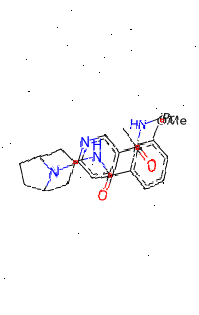 COc1cccc(C(=O)NC2CC3CCC(C2)N3c2ccc(C(=O)NC(C)C)cn2)c1C